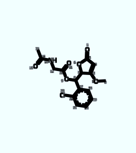 COC1=CC(=O)OC1C(OC(=O)CNC(C)=O)c1ccccc1Cl